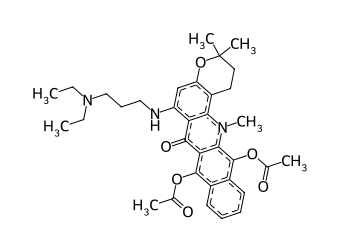 CCN(CC)CCCNc1cc2c(c3c1c(=O)c1c(OC(C)=O)c4ccccc4c(OC(C)=O)c1n3C)CCC(C)(C)O2